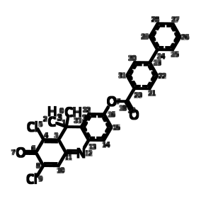 CC1(C)C2=C(Cl)C(=O)C(Cl)=CC2=Nc2ccc(OC(=O)c3ccc(-c4ccccc4)cc3)cc21